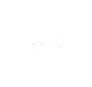 COc1cc(OC)c(-c2cn3ccc(NC4CCC(NCc5ccccc5O)CC4)cc3n2)cc1Cl